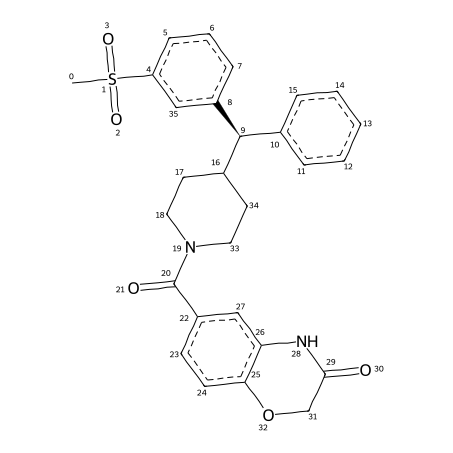 CS(=O)(=O)c1cccc([C@@H](c2ccccc2)C2CCN(C(=O)c3ccc4c(c3)NC(=O)CO4)CC2)c1